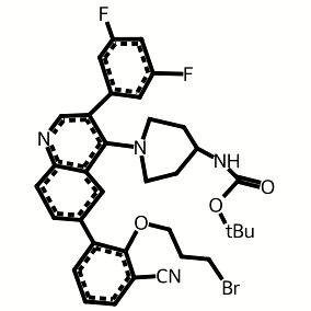 CC(C)(C)OC(=O)NC1CCN(c2c(-c3cc(F)cc(F)c3)cnc3ccc(-c4cccc(C#N)c4OCCCBr)cc23)CC1